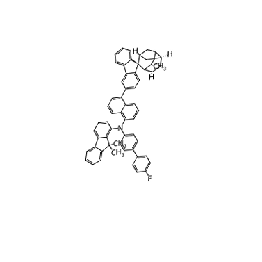 C[C@@H]1CC2C[C@@H]3C[C@@H]2CCC1[C@@]31c2ccccc2-c2cc(-c3cccc4c(N(c5ccc(-c6ccc(F)cc6)cc5)c5cccc6c5C(C)(C)c5ccccc5-6)cccc34)ccc21